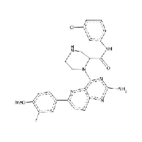 COc1ccc(-c2ccc3nc(N)nc(N4CCNCC4C(=O)Nc4cccc(Cl)c4)c3n2)cc1C